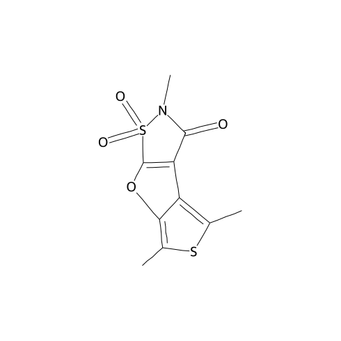 Cc1sc(C)c2c3c(oc12)S(=O)(=O)N(C)C3=O